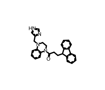 O=C(CCC1c2ccccc2-c2ccccc21)N1CCN(Cc2c[nH]cn2)c2ccccc21